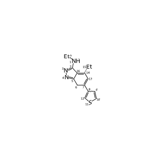 CCNC1=NN=C2CC(c3ccsc3)=CC(CC)=C21